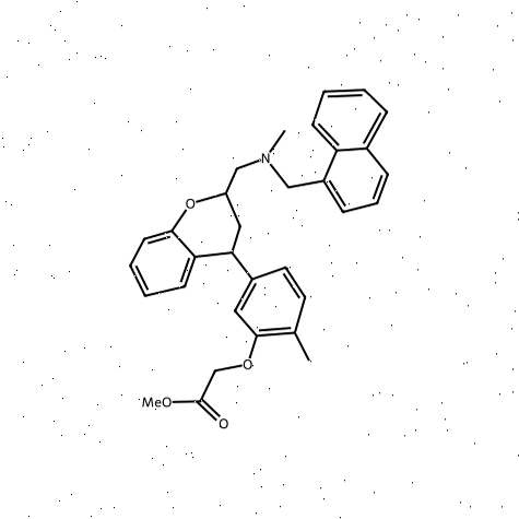 COC(=O)COc1cc(C2CC(CN(C)Cc3cccc4ccccc34)Oc3ccccc32)ccc1C